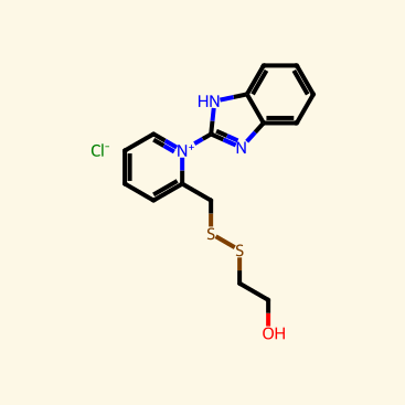 OCCSSCc1cccc[n+]1-c1nc2ccccc2[nH]1.[Cl-]